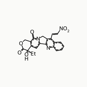 CC[C@@]1(O)C(=O)OCc2c1cc1n(c2=O)Cc2c-1nc1ccccc1c2C=C[N+](=O)[O-]